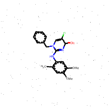 COc1cc(C)c(NC2=NC(O)C(Cl)=CN2Cc2ccccc2)cc1OC